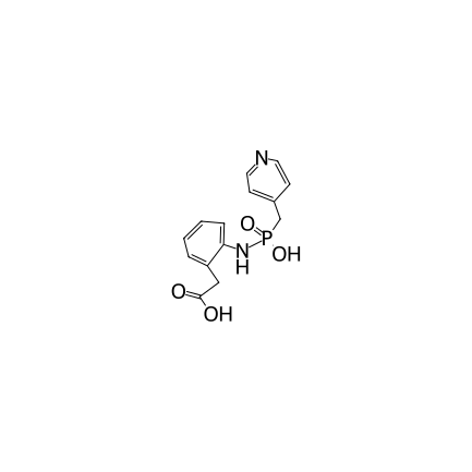 O=C(O)Cc1ccccc1NP(=O)(O)Cc1ccncc1